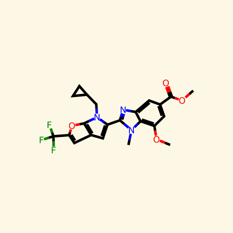 COC(=O)c1cc(OC)c2c(c1)nc(-c1cc3cc(C(F)(F)F)oc3n1CC1CC1)n2C